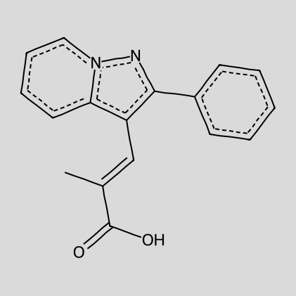 C/C(=C\c1c(-c2ccccc2)nn2ccccc12)C(=O)O